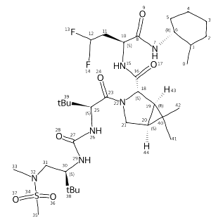 CC1CCCC[C@H]1NC(=O)[C@H](CC(F)F)NC(=O)[C@@H]1[C@@H]2[C@H](CN1C(=O)[C@@H](NC(=O)N[C@H](CN(C)S(C)(=O)=O)C(C)(C)C)C(C)(C)C)C2(C)C